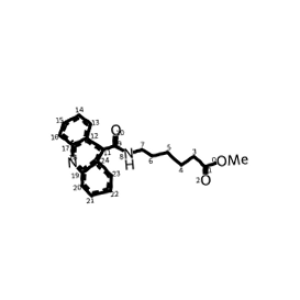 COC(=O)CCCCCNC(=O)c1c2ccccc2nc2ccccc12